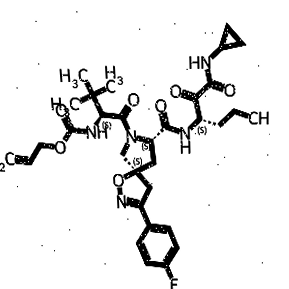 C=CCOC(=O)N[C@H](C(=O)N1C[C@@]2(CC(c3ccc(F)cc3)=NO2)C[C@H]1C(=O)N[C@@H](CCC)C(=O)C(=O)NC1CC1)C(C)(C)C